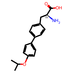 CC(C)Oc1ccc(-c2ccc(C[C@H](N)C(=O)O)cc2)cc1